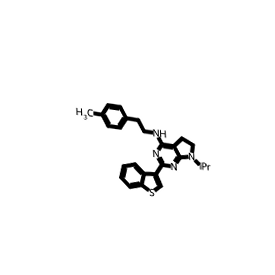 Cc1ccc(CCNc2nc(-c3csc4ccccc34)nc3c2CCN3C(C)C)cc1